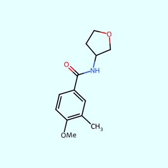 COc1ccc(C(=O)NC2CCOC2)cc1C